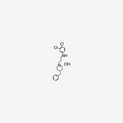 Cl.Clc1ccc(NCCCN2CCC(Cc3ccccc3)CC2)cc1Cl